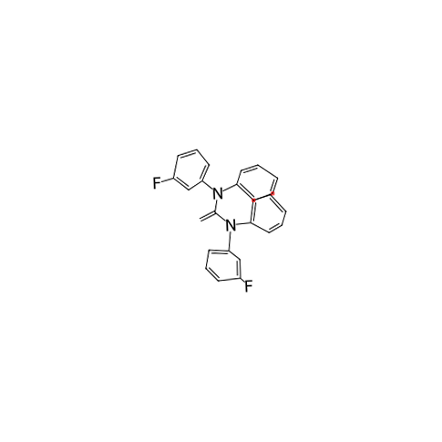 C=C(N(c1ccccc1)c1cccc(F)c1)N(c1ccccc1)c1cccc(F)c1